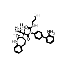 CC(C)(N)C(C)(C(=O)N(C(=O)NCCO)c1ccc(-c2ccccc2N)cc1)[C@H]1CCc2ccccc2NC1=O